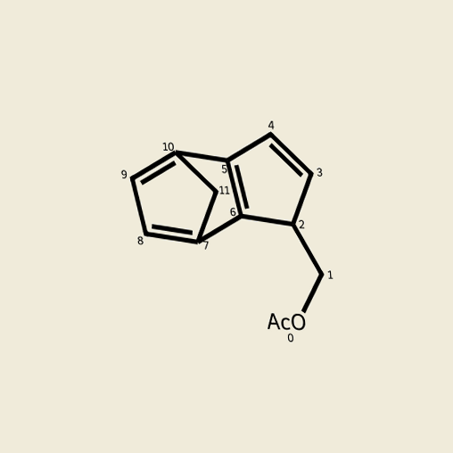 CC(=O)OCC1C=CC2=C1C1=CC=C2C1